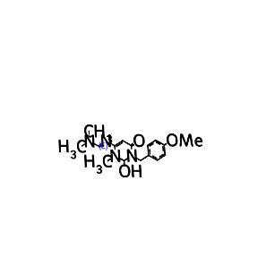 COc1ccc(CN2C(=O)C=C(/N=C/N(C)C)N(C)C2O)cc1